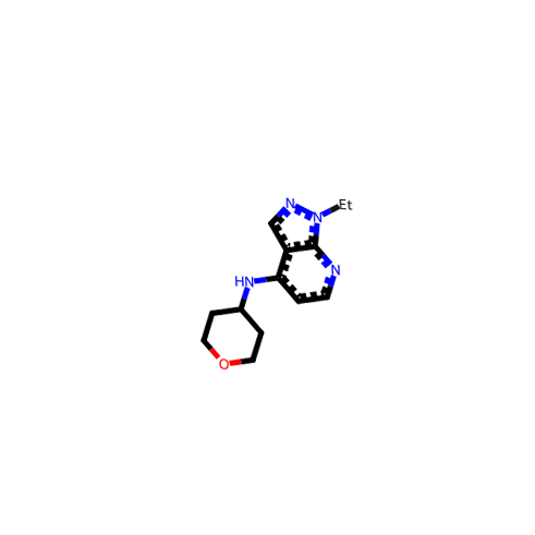 CCn1ncc2c(NC3CCOCC3)ccnc21